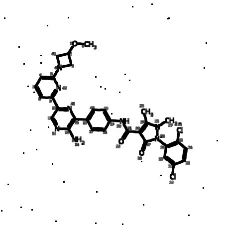 COC1CN(c2cccc(-c3cnc(N)c(-c4ccc(NC(=O)c5c(C)n(C)n(-c6cc(Cl)ccc6Cl)c5=O)cc4)n3)n2)C1